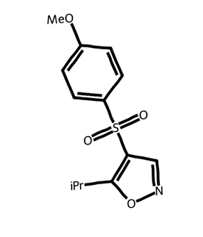 COc1ccc(S(=O)(=O)c2cnoc2C(C)C)cc1